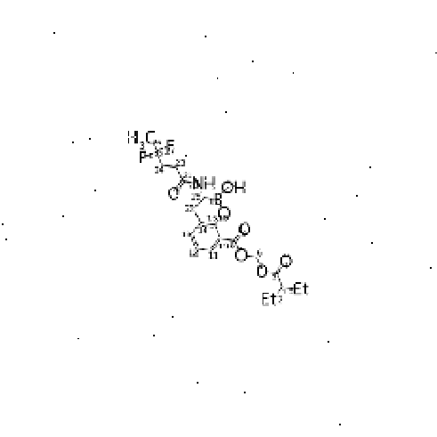 CCC(CC)C(=O)OCOC(=O)c1cccc2c1OB(O)[C@@H](NC(=O)CCC(C)(F)F)C2